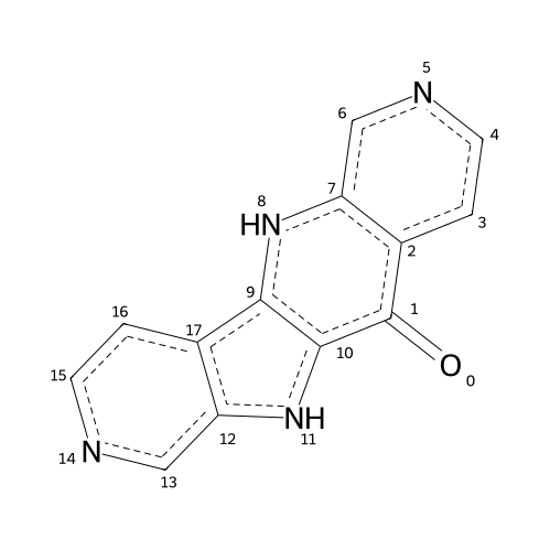 O=c1c2ccncc2[nH]c2c1[nH]c1cnccc12